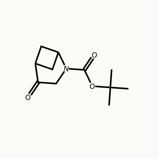 CC(C)(C)OC(=O)N1CC(=O)C2CC1C2